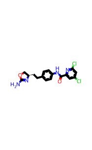 NC1=N[C@@H](CCc2ccc(NC(=O)c3cc(Cl)cc(Cl)n3)cc2)CO1